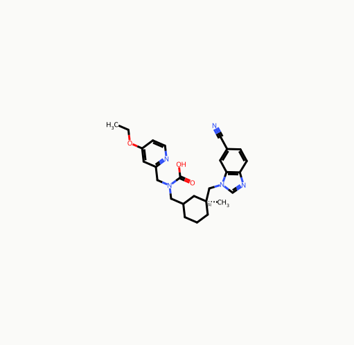 CCOc1ccnc(CN(CC2CCC[C@](C)(Cn3cnc4ccc(C#N)cc43)C2)C(=O)O)c1